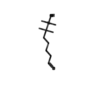 CC(C)(CCCCC=O)[Si](C)(C)O